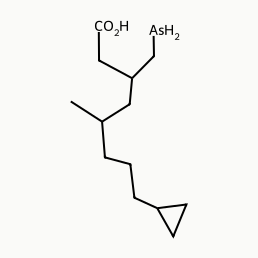 CC(CCCC1CC1)CC(C[AsH2])CC(=O)O